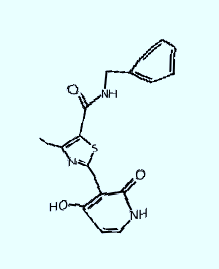 Cc1nc(-c2c(O)cc[nH]c2=O)sc1C(=O)NCc1ccccc1